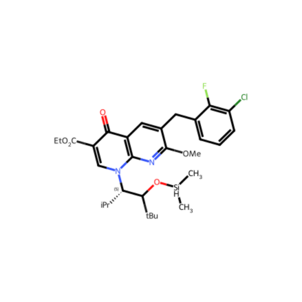 CCOC(=O)c1cn([C@@H](C(C)C)C(O[SiH](C)C)C(C)(C)C)c2nc(OC)c(Cc3cccc(Cl)c3F)cc2c1=O